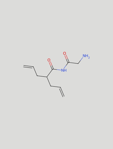 C=CCC(CC=C)C(=O)NC(=O)CN